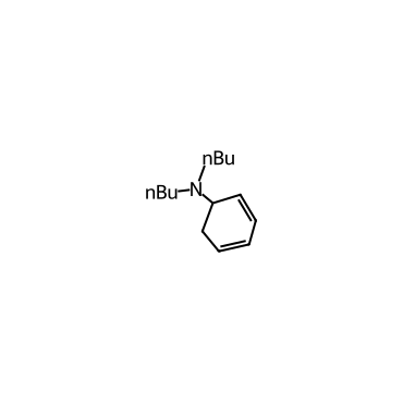 CCCCN(CCCC)C1C=CC=CC1